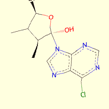 CC[C@H]1O[C@@](O)(n2cnc3c(Cl)ncnc32)[C@@H](C)C1C